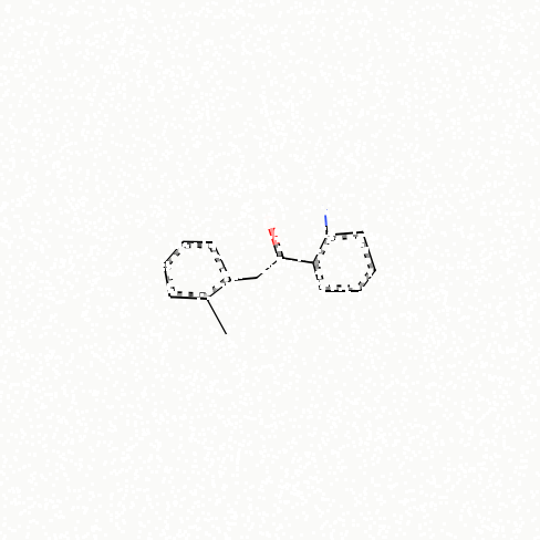 Cc1ccccc1CC(=O)c1ccccc1N